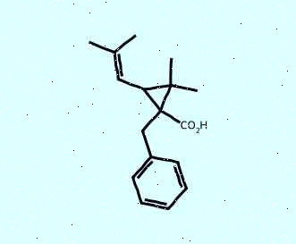 CC(C)=CC1C(C)(C)C1(Cc1ccccc1)C(=O)O